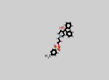 Cc1ccc(S(=O)(=O)OCCCN2CCC(C(O)(c3ccccc3)c3ccccc3)CC2)cc1